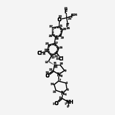 CNC(=O)N1CCC(N2CC[C@@H](Cc3c(Cl)cc(-c4ccc(OC(F)(F)F)cc4)cc3Cl)C2=O)CC1